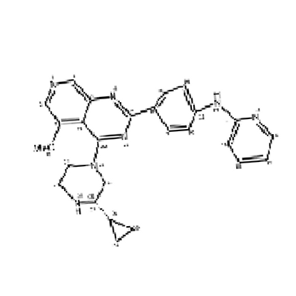 COc1cncc2nc(-c3ccc(Nc4ccccn4)cc3)nc(N3CCN[C@@H](C4CC4)C3)c12